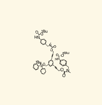 CN(Cc1ccc(NC(=O)OC(C)(C)C)cc1)C(=O)OCC#Cc1cc(C#CCOC(=O)N(C)Cc2ccc(NC(=O)OC(C)(C)C)cc2)cc(CO[Si](c2ccccc2)(c2ccccc2)C(C)(C)C)c1